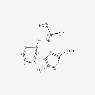 CCC[C@@H](NCc1ccccc1)C(=O)O.Cc1ccc(S(=O)(=O)O)cc1